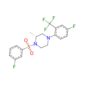 C[C@@H]1CN(c2ccc(F)cc2C(F)(F)F)CCN1S(=O)(=O)c1cccc(F)c1